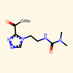 COC(=O)c1nn[c]n1CCNC(=O)N(C)C